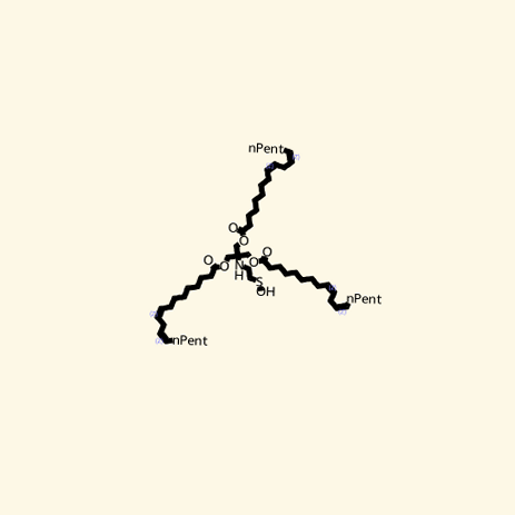 CCCCC/C=C\C/C=C\CCCCCCCC(=O)OCC(COC(=O)CCCCCCC/C=C\C/C=C\CCCCC)(COC(=O)CCCCCCC/C=C\C/C=C\CCCCC)NCCSO